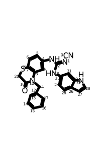 N#C/N=C(\Nc1ccc2c(c1)N(Cc1ccccc1)C(=O)CS2)Nc1ccc2cc[nH]c2c1